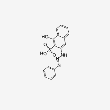 O=S(=O)(O)c1c(NN=Nc2ccccc2)cc2ccccc2c1O